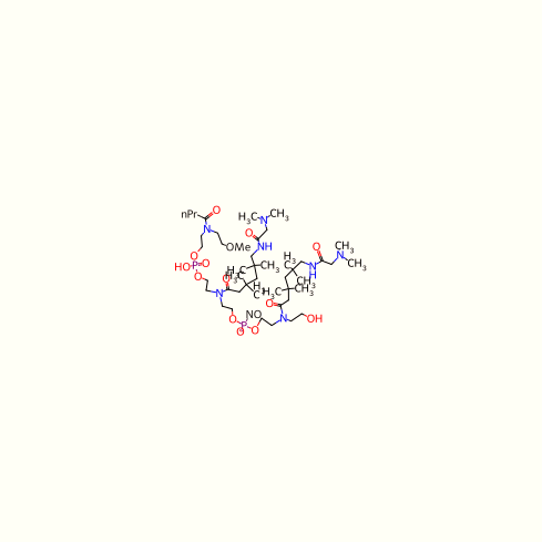 CCCC(=O)N(CCOC)CCOP(=O)(O)OCCN(CCOP(=O)(N=O)OCCN(CCO)C(=O)CC(C)(C)CC(C)(C)CNC(=O)CN(C)C)C(=O)CC(C)(C)CC(C)(C)CNC(=O)CN(C)C